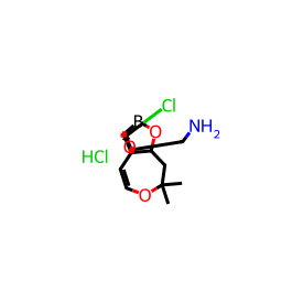 CC1(C)CC2OB=C3C=C(Cl)C(CN)OC32C=CO1.Cl